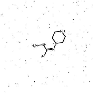 CC(=O)C(=NN1CCNCC1)NN